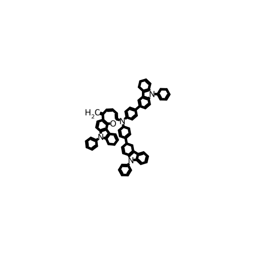 C=C1/C=C\C=C(\N(c2ccc(-c3ccc4c(c3)c3c(n4C4=CC=CCC4)C=CCC3)cc2)C2C=CC(C3C=Cc4c(c5ccccc5n4-c4ccccc4)C3)=CC2)Oc2c1ccc1c2c2c(n1-c1ccccc1)CCC=C2